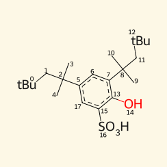 CC(C)(C)CC(C)(C)c1cc(C(C)(C)CC(C)(C)C)c(O)c(S(=O)(=O)O)c1